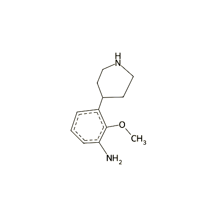 COc1c(N)cccc1C1CCNCC1